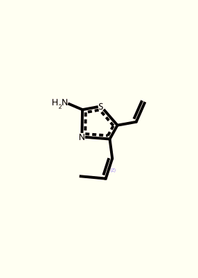 C=Cc1sc(N)nc1/C=C\C